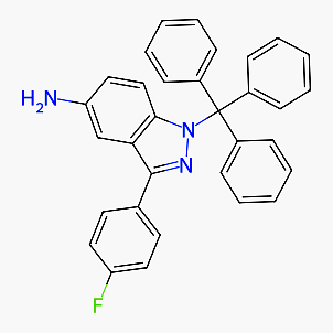 Nc1ccc2c(c1)c(-c1ccc(F)cc1)nn2C(c1ccccc1)(c1ccccc1)c1ccccc1